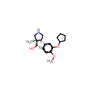 COc1ccc([C@H]2CNC[C@@]2(C)[C@H](C)O)cc1OC1CCCC1